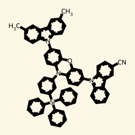 Cc1ccc2c(c1)c1cc(C)ccc1n2-c1ccc2c(c1)Oc1cc(-n3c4ccccc4c4cc(C#N)ccc43)ccc1N2c1cccc([Si](c2ccccc2)(c2ccccc2)c2ccccc2)c1